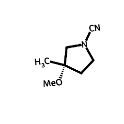 CO[C@@]1(C)CCN(C#N)C1